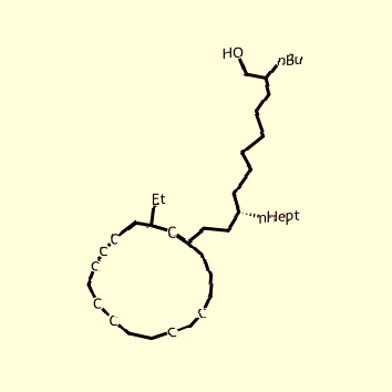 CCCCCCC[C@@H](CCCCCCC(CO)CCCC)CCC1CCCCCCCCCCCCCCCC(CC)C1